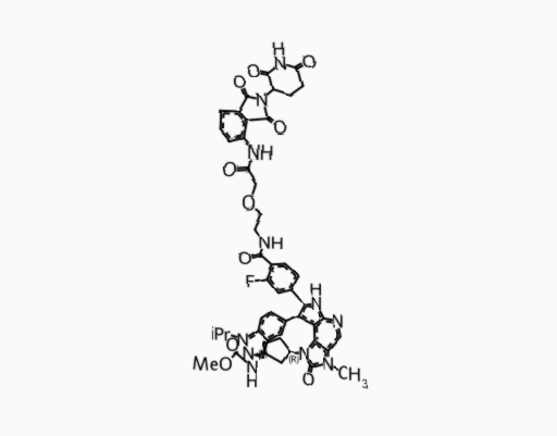 COC(=O)N[C@@H]1CC[C@@H](n2c(=O)n(C)c3cnc4[nH]c(-c5ccc(C(=O)NCCOCC(=O)Nc6cccc7c6C(=O)N(C6CCC(=O)NC6=O)C7=O)c(F)c5)c(-c5ccc6c(cnn6C(C)C)c5)c4c32)C1